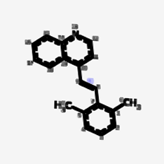 Cc1cccc(C)c1/C=C/c1ccnc2ccccc12